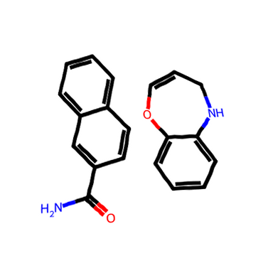 C1=COc2ccccc2NC1.NC(=O)c1ccc2ccccc2c1